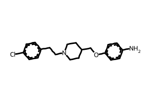 Nc1ccc(OCC2CCN(CCc3ccc(Cl)cc3)CC2)cc1